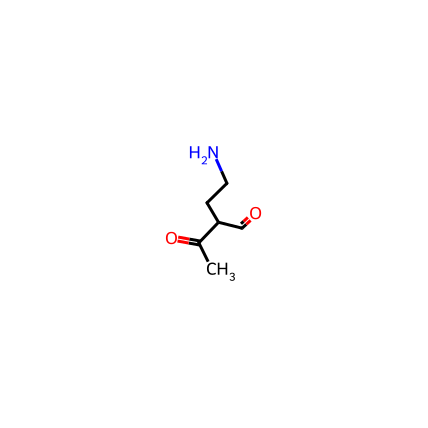 CC(=O)C(C=O)CCN